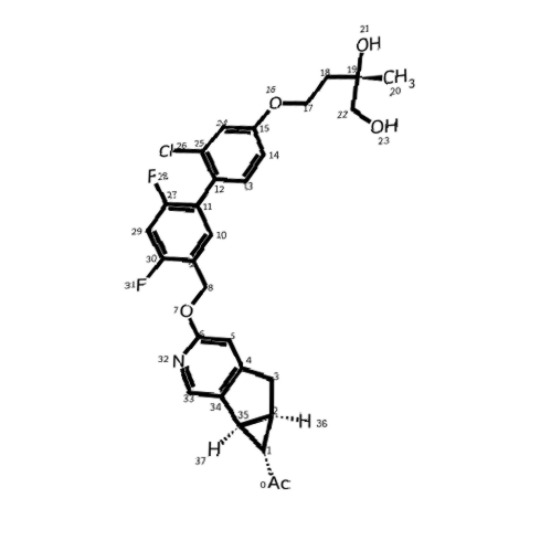 CC(=O)[C@H]1[C@@H]2Cc3cc(OCc4cc(-c5ccc(OCC[C@](C)(O)CO)cc5Cl)c(F)cc4F)ncc3[C@@H]21